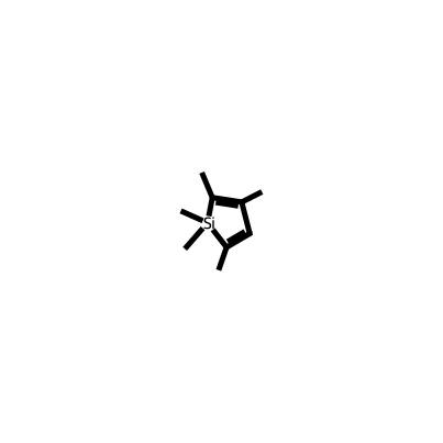 CC1=CC(C)=C(C)[Si]1(C)C